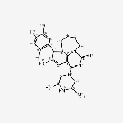 CC1CN(c2nc(=O)n3c4c(c(-c5cc(Br)c(F)cc5F)c(C(F)(F)F)cc24)SCCC3)CC(C)N1